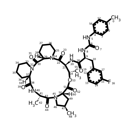 Cc1ccc(NC(=O)N[C@@H](Cc2cccc(F)c2)C(=O)N[C@@H]2C(=O)N3CCCC[C@H]3C(=O)N3CCCC[C@H]3C(=O)N[C@@H](C)C(=O)N3C[C@H](C)C[C@H]3C(=O)O[C@H]2C)cc1